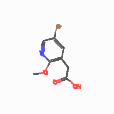 COc1ncc(Br)cc1CC(=O)O